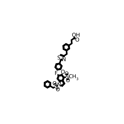 CS(=O)(=O)c1c(Oc2cccc(-c3nc(Cc4cccc(CCC(=O)O)c4)cs3)c2)c(F)cc2c1ccn2S(=O)(=O)Cc1ccccc1